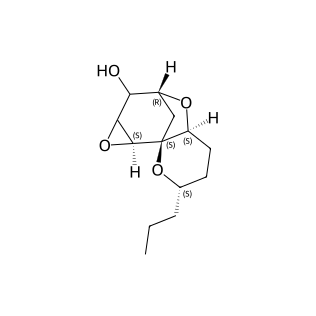 CCC[C@H]1CC[C@@H]2O[C@@H]3C[C@@]2(O1)[C@H]1OC1C3O